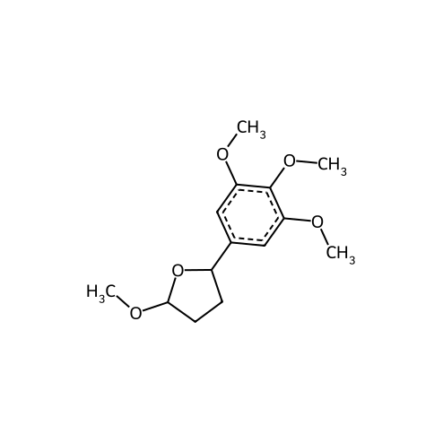 COc1cc(C2CCC(OC)O2)cc(OC)c1OC